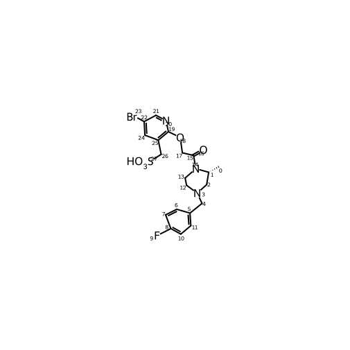 C[C@@H]1CN(Cc2ccc(F)cc2)CCN1C(=O)COc1ncc(Br)cc1CS(=O)(=O)O